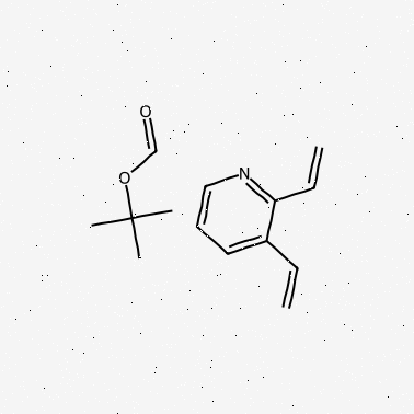 C=Cc1cccnc1C=C.CC(C)(C)OC=O